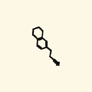 N#CCCc1ccc2c(c1)CCCC2